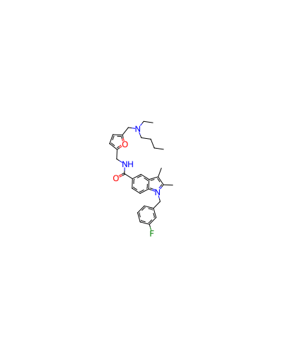 CCCCN(CC)Cc1ccc(CNC(=O)c2ccc3c(c2)c(C)c(C)n3Cc2cccc(F)c2)o1